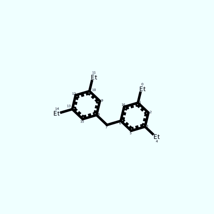 CCc1cc(CC)cc(Cc2cc(CC)cc(CC)c2)c1